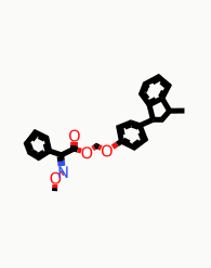 CON=C(C(=O)OCOc1ccc(C2CC(C)c3ccccc32)cc1)c1ccccc1